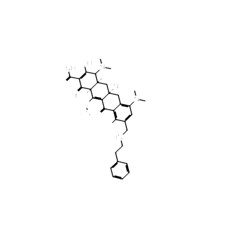 CN(C)c1cc(CNCCc2ccccc2)c(O)c2c1C[C@@]1(N)C[C@H]3C(N(C)C)C(O)=C(C(N)=O)C(=O)[C@@]3(O)C(ON)=C1C2=O